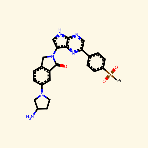 CC(C)S(=O)(=O)c1ccc(-c2cnc3[nH]cc(N4Cc5ccc(N6CCC(N)C6)cc5C4=O)c3n2)cc1